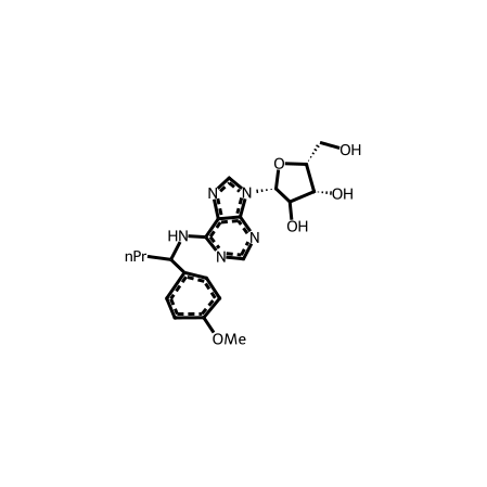 CCCC(Nc1ncnc2c1ncn2[C@@H]1O[C@H](CO)[C@H](O)C1O)c1ccc(OC)cc1